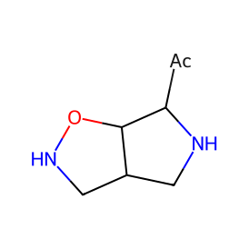 CC(=O)C1NCC2CNOC21